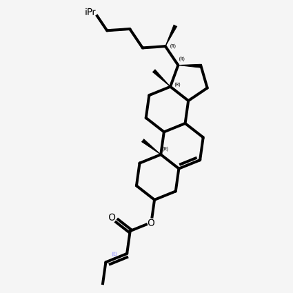 C/C=C/C(=O)OC1CC[C@@]2(C)C(=CCC3C2CC[C@@]2(C)C3CC[C@@H]2[C@H](C)CCCC(C)C)C1